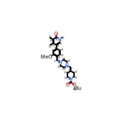 COc1cc(-c2cn(C)c(=O)c(C)c2C)ccc1CN1CCN(CC2CCN(C(=O)OC(C)(C)C)CC2)CC1